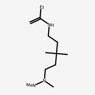 C=C(CC)NCCC(C)(C)CCN(C)NC